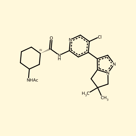 CC(=O)NC1CCC[C@H](C(=O)Nc2cc(-c3cnn4c3CC(C)(C)C4)c(Cl)cn2)C1